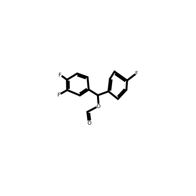 O=COC(c1ccc(F)cc1)c1ccc(F)c(F)c1